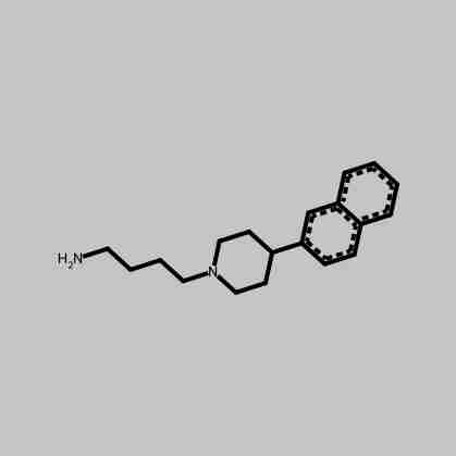 NCCCCN1CCC(c2ccc3ccccc3c2)CC1